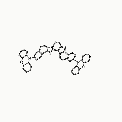 c1ccc2c(c1)Oc1ccccc1N2c1ccc2c(ccc3c4ccc5sc6c7ccc(N8c9ccccc9Oc9ccccc98)cc7ccc6c5c4sc23)c1